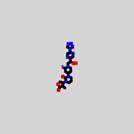 CC1=C(N2CCCN(C3CCN(CC(O)c4cnc(-n5cnnn5)cn4)C(I)C3)C2=O)COC1=O